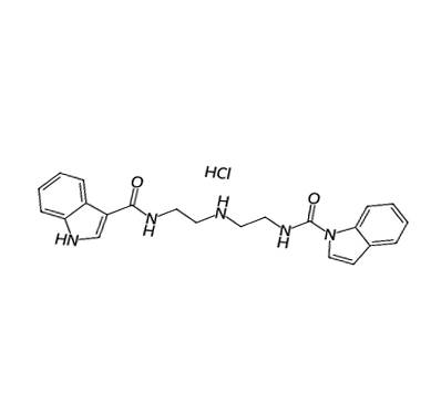 Cl.O=C(NCCNCCNC(=O)n1ccc2ccccc21)c1c[nH]c2ccccc12